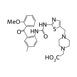 COc1ccccc1C(=O)c1cc(C)ccc1NC(=O)Nc1ncc(CN2CCN(CC(=O)O)CC2)s1